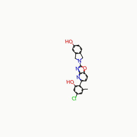 Cc1cc(Cl)cc(O)c1-c1ccc2oc(N3Cc4ccc(O)cc4C3)nc2n1